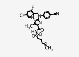 COCCCS(=O)(=O)NC(=O)c1nc(N(Cc2ncc(Cl)cc2F)c2ccc(C#N)cc2)sc1C